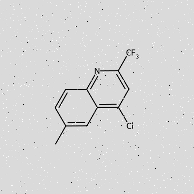 Cc1ccc2nc(C(F)(F)F)cc(Cl)c2c1